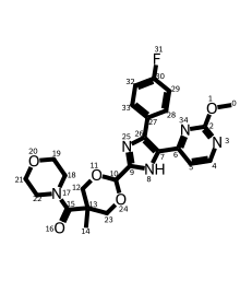 COc1nccc(-c2[nH]c(C3OCC(C)(C(=O)N4CCOCC4)CO3)nc2-c2ccc(F)cc2)n1